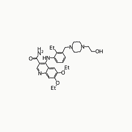 CCOc1cc2ncc(C(N)=O)c(Nc3cccc(CN4CCN(CCO)CC4)c3CC)c2cc1OCC